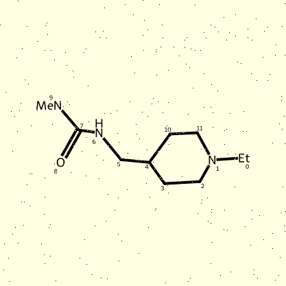 CCN1CCC(CNC(=O)NC)CC1